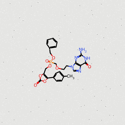 Cc1ccc(-c2oc(=O)oc2COP(=O)(COCCn2cnc3c(=O)[nH]c(N)nc32)OCc2ccccc2)cc1